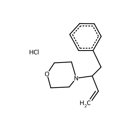 C=CC(Cc1ccccc1)N1CCOCC1.Cl